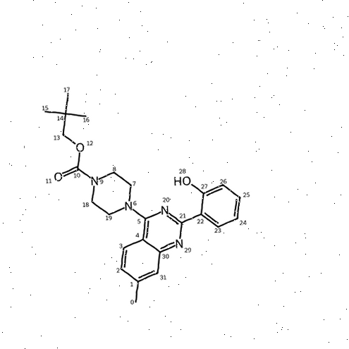 Cc1ccc2c(N3CCN(C(=O)OCC(C)(C)C)CC3)nc(-c3ccccc3O)nc2c1